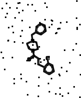 O=C(/C=C/c1ccccc1Cl)N1CCN(Cc2ccccc2)CC1